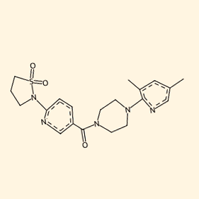 Cc1cnc(N2CCN(C(=O)c3ccc(N4CCCS4(=O)=O)nc3)CC2)c(C)c1